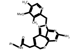 COc1c(C)cnc(Cn2nc3c4c(nc(N)nc42)SCC(CC(=O)NC(C)C)=C3)c1C